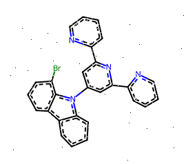 Brc1cccc2c3ccccc3n(-c3cc(-c4ccccn4)nc(-c4ccccn4)c3)c12